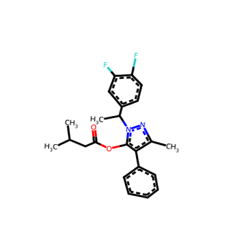 Cc1nn(C(C)c2ccc(F)c(F)c2)c(OC(=O)CC(C)C)c1-c1ccccc1